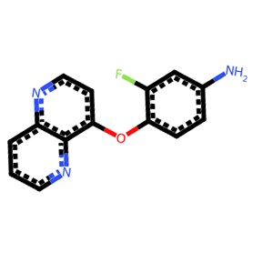 Nc1ccc(Oc2ccnc3cccnc23)c(F)c1